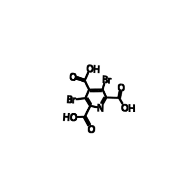 O=C(O)c1nc(C(=O)O)c(Br)c(C(=O)O)c1Br